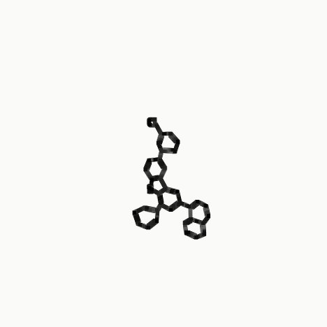 Clc1cccc(-c2ccc3sc4c(-c5ccccc5)cc(-c5cccc6ccccc56)cc4c3c2)c1